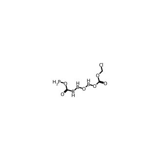 O=C(BBOBOC(=O)OCCl)OP